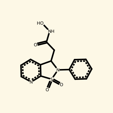 O=C(CC1c2cccnc2S(=O)(=O)N1c1ccccc1)NO